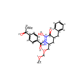 CCOCOCC(CC(Cc1ccccc1)C(=O)NO)NC(=O)c1ccc(C(=O)OC)cc1